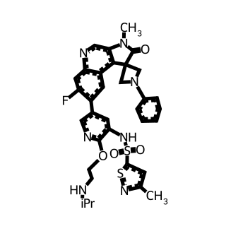 Cc1cc(S(=O)(=O)Nc2cc(-c3cc4c5c(cnc4cc3F)N(C)C(=O)C53CN(c4ccccc4)C3)cnc2OCCNC(C)C)sn1